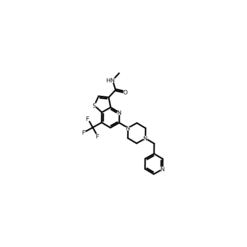 CNC(=O)c1csc2c(C(F)(F)F)cc(N3CCN(Cc4cccnc4)CC3)nc12